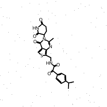 Cc1nc2c(CNC(=O)C(=O)c3ccc(C(C)C)cc3)scc2c(=O)n1C1CCC(=O)NC1=O